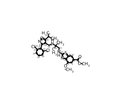 COC(=O)c1cc(OC)c2nc(NCC(C)(C)NCc3c(-c4c(Cl)cccc4Cl)noc3C(C)C)sc2c1